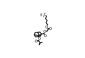 C=C(C)C(=O)OC12CC3CC(C1)CC(C(=O)OCC(=O)OCCCCCC(F)(F)F)(C3)C2